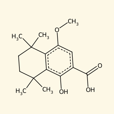 COc1cc(C(=O)O)c(O)c2c1C(C)(C)CCC2(C)C